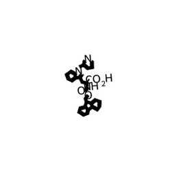 O=C(N[C@@H](Cc1cn(Cc2cccnc2)c2ccccc12)C(=O)O)OCC1c2ccccc2-c2ccccc21